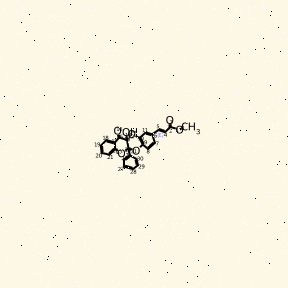 COC(=O)/C=C/c1ccc2c(c1)OC1(O)C(=O)c3ccccc3OC1(c1ccccc1)O2